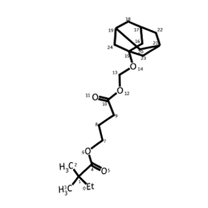 CCC(C)(C)C(=O)OCCCC(=O)OCOC12CC3CC(CC(C3)C1)C2